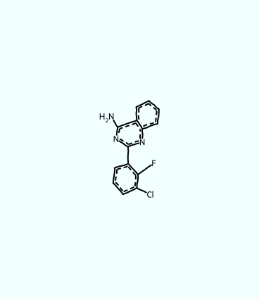 Nc1nc(-c2cccc(Cl)c2F)nc2ccccc12